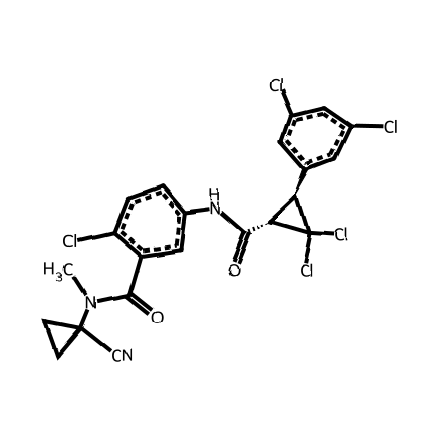 CN(C(=O)c1cc(NC(=O)[C@@H]2[C@@H](c3cc(Cl)cc(Cl)c3)C2(Cl)Cl)ccc1Cl)C1(C#N)CC1